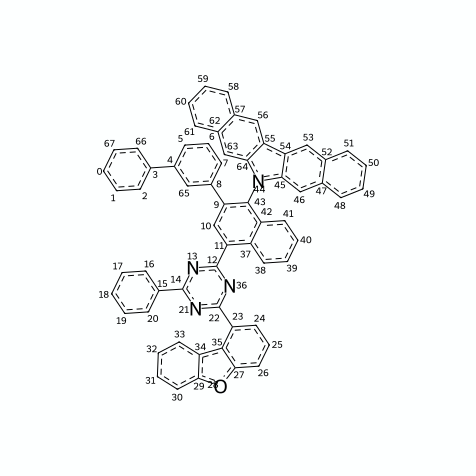 c1ccc(-c2cccc(-c3cc(-c4nc(-c5ccccc5)nc(-c5cccc6oc7ccccc7c56)n4)c4ccccc4c3-n3c4cc5ccccc5cc4c4cc5ccccc5cc43)c2)cc1